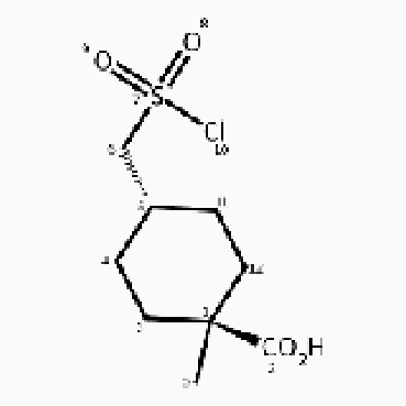 C[C@]1(C(=O)O)CC[C@H](CS(=O)(=O)Cl)CC1